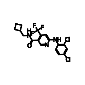 O=C(NCC1CCC1)c1cnc(Nc2ccc(Cl)cc2Cl)cc1C(F)(F)F